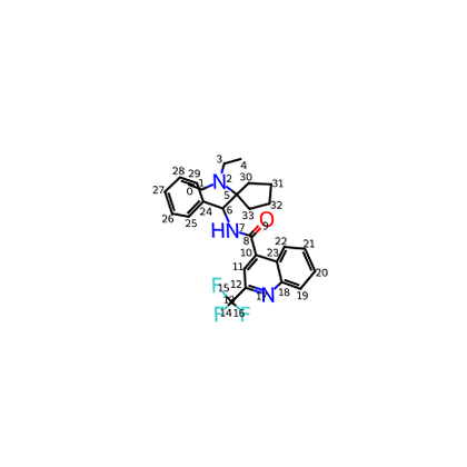 CCN(CC)C1(C(NC(=O)c2cc(C(F)(F)F)nc3ccccc23)c2ccccc2)CCCC1